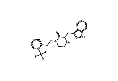 O=C1[C@@H](Cc2c[nH]c3ccccc23)NCCN1CCc1ccccc1C(F)(F)F